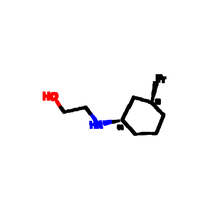 CC(C)[C@H]1CCC[C@H](NCCO)C1